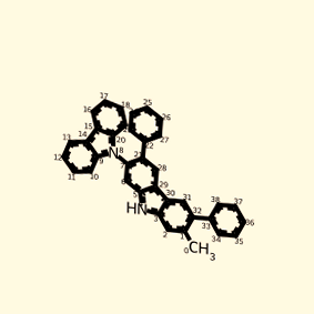 Cc1cc2[nH]c3cc(-n4c5ccccc5c5ccccc54)c(-c4ccccc4)cc3c2cc1-c1ccccc1